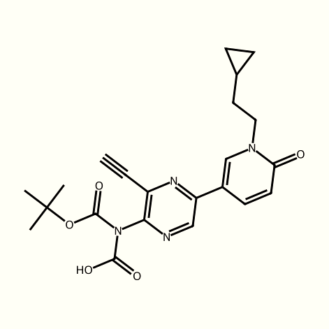 C#Cc1nc(-c2ccc(=O)n(CCC3CC3)c2)cnc1N(C(=O)O)C(=O)OC(C)(C)C